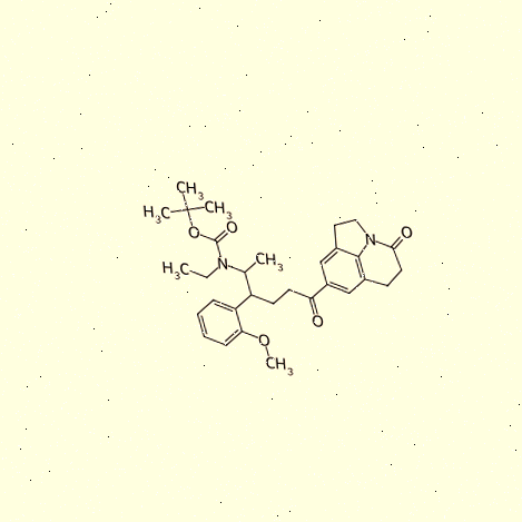 CCN(C(=O)OC(C)(C)C)C(C)C(CCC(=O)c1cc2c3c(c1)CCN3C(=O)CC2)c1ccccc1OC